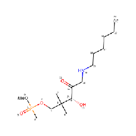 COP(C)(=O)OCC(C)(C)[C@@H](O)C(=O)CNCCCCCC(C)=O